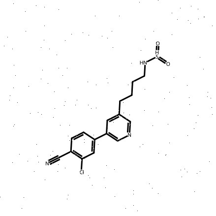 N#Cc1ccc(-c2cncc(CCCCN[SH](=O)=O)c2)cc1Cl